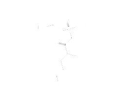 CCCCC(F)C(=O)CP(=O)(O)OCC